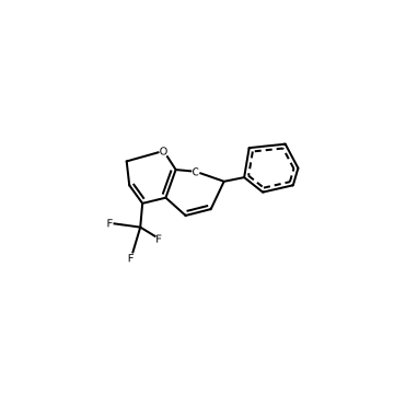 FC(F)(F)C1=CCOC2=C1C=CC(c1ccccc1)C2